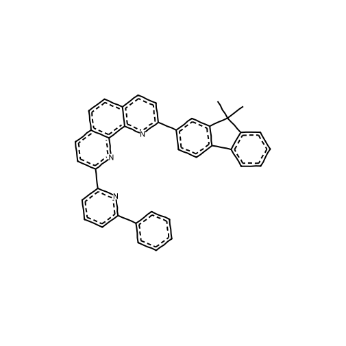 CC1(C)c2ccccc2-c2ccc(-c3ccc4ccc5ccc(-c6cccc(-c7ccccc7)n6)nc5c4n3)cc21